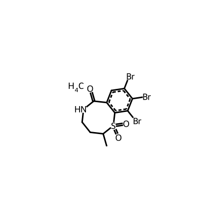 C.CC1CCNC(=O)c2cc(Br)c(Br)c(Br)c2S1(=O)=O